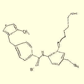 CCCCCCCCCCCCCCOc1cc(C(C)(C)C)ccc1NC(=O)c1ccc(C[n+]2cscc2C)cc1.[Br-]